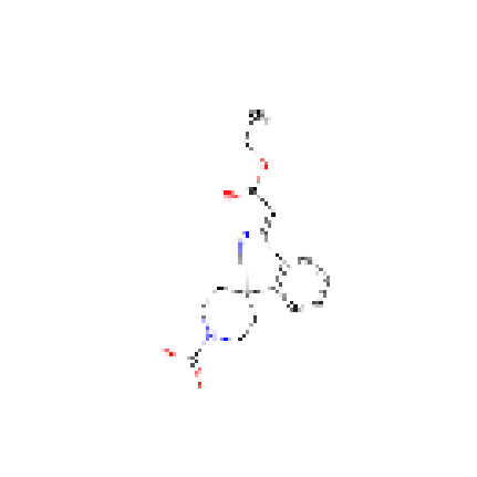 CCOC(=O)C=Cc1ccccc1C1(C#N)CCN(C(=O)O)CC1